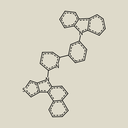 c1cc(-c2cccc(-n3c4cscc4c4c5ccccc5ccc43)n2)cc(-n2c3ccccc3c3ccccc32)c1